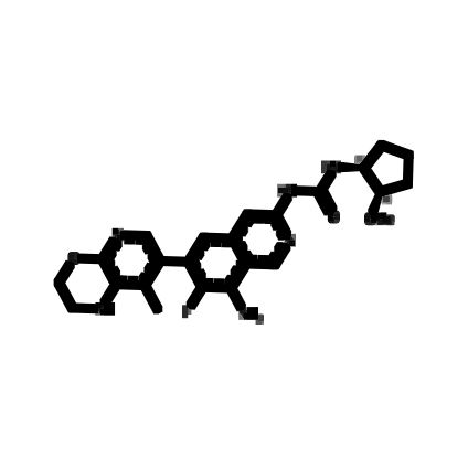 CO[C@@H]1CCC[C@@H]1NC(=O)Nc1cc2cc(-c3cnc4c(c3C)NCCO4)c(F)c(N)c2cn1